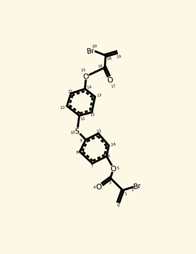 C=C(Br)C(=O)Oc1ccc(Sc2ccc(OC(=O)C(=C)Br)cc2)cc1